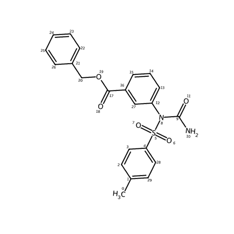 Cc1ccc(S(=O)(=O)N(C(N)=O)c2cccc(C(=O)OCc3ccccc3)c2)cc1